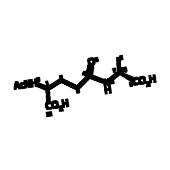 CC(=O)NC(CCC(=O)N[C@@H](C)C(=O)O)C(=O)O